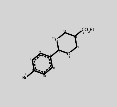 CCOC(=O)C1COC(c2ccc(Br)cc2)OC1